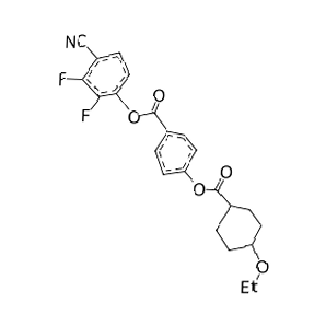 CCOC1CCC(C(=O)Oc2ccc(C(=O)Oc3ccc(C#N)c(F)c3F)cc2)CC1